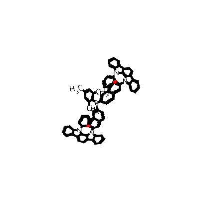 Cc1cc(C)c(B(c2ccc3cc(-n4c5ccccc5c5ccc6c7ccccc7n(-c7ccccc7)c6c54)ccc3c2)c2ccc3cc(-n4c5ccccc5c5ccc6c7ccccc7n(-c7ccccc7)c6c54)ccc3c2)c(C)c1